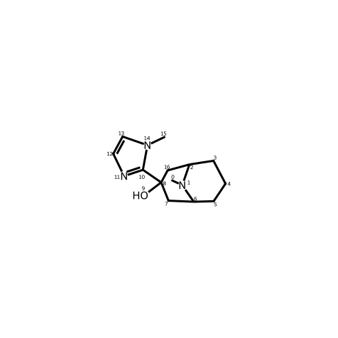 CN1C2CCCC1CC(O)(c1nccn1C)C2